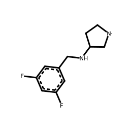 Fc1cc(F)cc(CNC2CC[N]C2)c1